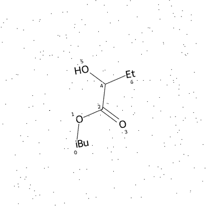 CCC(C)OC(=O)C(O)CC